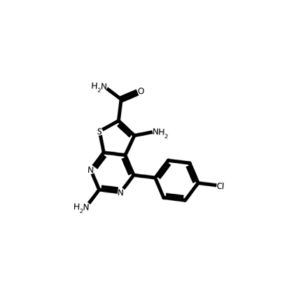 NC(=O)c1sc2nc(N)nc(-c3ccc(Cl)cc3)c2c1N